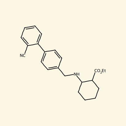 CCOC(=O)C1CCCCC1NCc1ccc(-c2ccccc2C#N)cc1